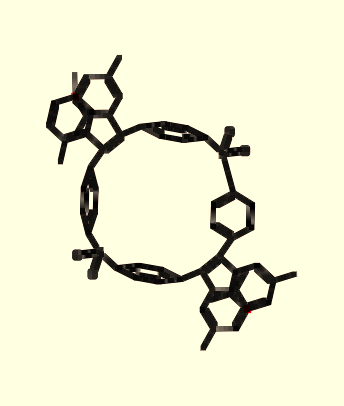 Cc1ccc(C)c(/C2=C(\c3cc(C)ccc3C)c3ccc(cc3)S(=O)(=O)c3ccc(cc3)/C(c3cc(C)ccc3C)=C(/c3cc(C)ccc3C)c3ccc(cc3)S(=O)(=O)c3ccc2cc3)c1